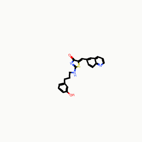 O=C1N=C(NCCCc2cccc(O)c2)S/C1=C\c1ccc2ncccc2c1